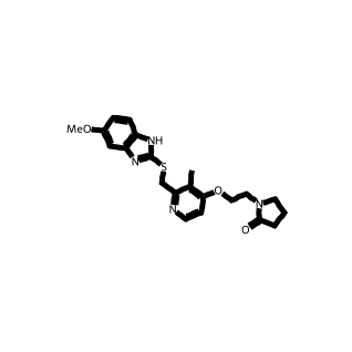 COc1ccc2[nH]c(SCc3nccc(OCCN4CCCC4=O)c3C)nc2c1